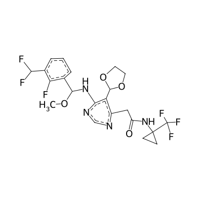 COC(Nc1ncnc(CC(=O)NC2(C(F)(F)F)CC2)c1C1OCCO1)c1cccc(C(F)F)c1F